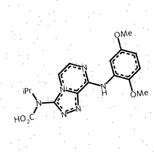 COc1ccc(OC)c(Nc2nccn3c(N(C(=O)O)C(C)C)nnc23)c1